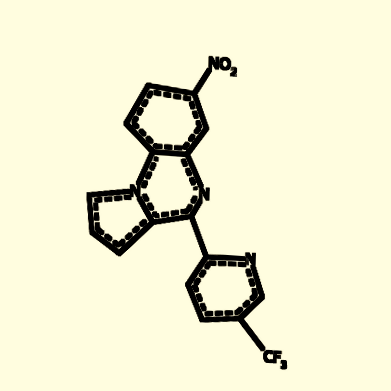 O=[N+]([O-])c1ccc2c(c1)nc(-c1ccc(C(F)(F)F)cn1)c1cccn12